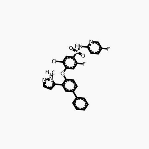 Cn1nccc1-c1cc(-c2ccccc2)ccc1Oc1cc(F)c(S(=O)(=O)Nc2ccc(F)cn2)cc1Cl